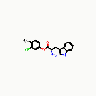 Cc1ccc(OC(=O)[C@@H](N)Cc2c[nH]c3ccccc23)cc1Cl